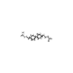 CNCCCN1C=CC(C2=CCN(CCCN(C)C)C=C2)=CC1